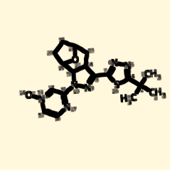 CC(C)(C)c1nnc(C2=NN(c3c[n+]([O-])ccn3)C3C4CCC(CC23)O4)s1